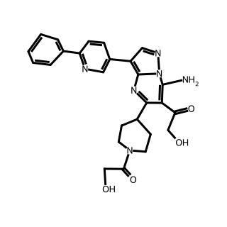 Nc1c(C(=O)CO)c(C2CCN(C(=O)CO)CC2)nc2c(-c3ccc(-c4ccccc4)nc3)cnn12